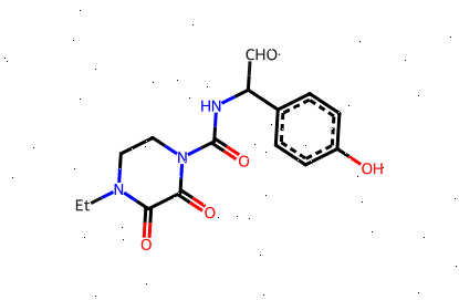 CCN1CCN(C(=O)NC([C]=O)c2ccc(O)cc2)C(=O)C1=O